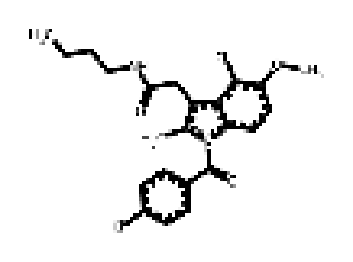 CCCCNC(=O)Cc1c(C)n(C(=O)c2ccc(Cl)cc2)c2ccc(OC)c(Cl)c12